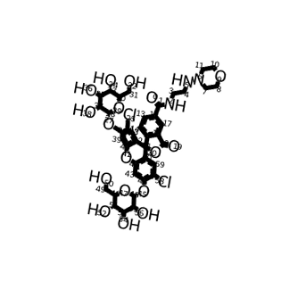 O=C(NCCNN1CCOCC1)c1ccc2c(c1)C(=O)OC21c2cc(Cl)c(O[C@H]3OC(CO)[C@@H](O)C(O)C3O)cc2Oc2cc(O[C@@H]3OC(CO)[C@H](O)C(O)C3O)c(Cl)cc21